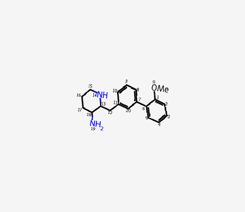 COc1ccccc1-c1cccc(CC2NCCCC2N)c1